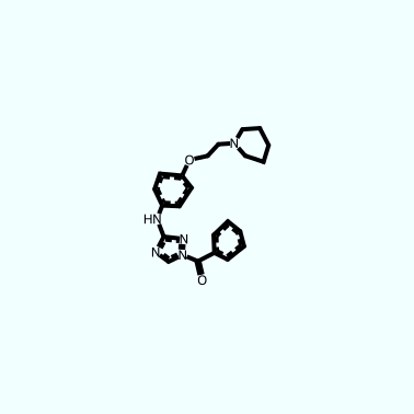 O=C(c1ccccc1)n1cnc(Nc2ccc(OCCN3CCCCC3)cc2)n1